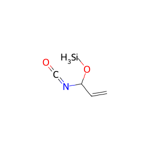 C=CC(N=C=O)O[SiH3]